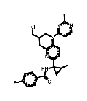 Cc1nccc(N2CC(CCl)Cc3nc(C4(NC(=O)c5ccc(F)cc5)CC4C)ccc32)n1